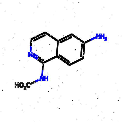 Nc1ccc2c(NC(=O)O)nccc2c1